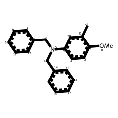 COc1ccc(N(Cc2ccccc2)Cc2ccccc2)cc1C